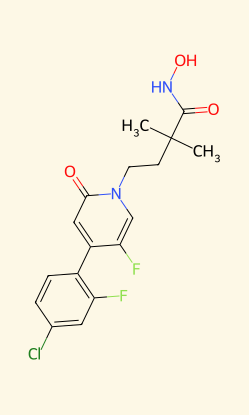 CC(C)(CCn1cc(F)c(-c2ccc(Cl)cc2F)cc1=O)C(=O)NO